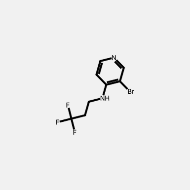 FC(F)(F)CCNc1ccncc1Br